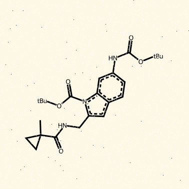 CC(C)(C)OC(=O)Nc1ccc2cc(CNC(=O)C3(C)CC3)n(C(=O)OC(C)(C)C)c2c1